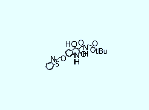 CC(C)(C)OC(=O)CNC(=O)c1c(O)c2ccc(OCc3nc4ccccc4s3)cc2[nH]c1=O